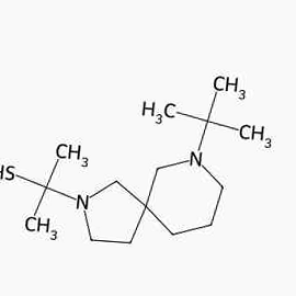 CC(C)(C)N1CCCC2(CCN(C(C)(C)S)C2)C1